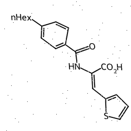 CCCCCCc1ccc(C(=O)N/C(=C/c2cccs2)C(=O)O)cc1